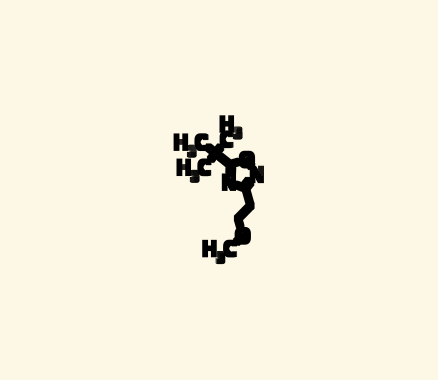 COCCc1noc(C(C)(C)C)n1